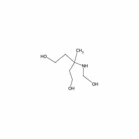 CC(CCO)(CCO)NCO